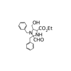 CCOC(=O)C1NC(C=O)(Cc2ccccc2)N(Cc2ccccc2)C1CO